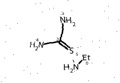 CCN.NC(N)=S